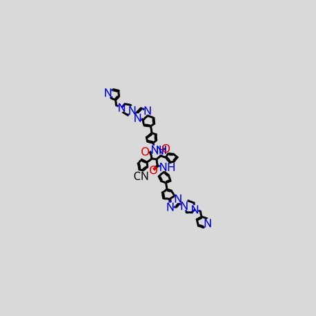 N#Cc1cccc(C(C(=O)Nc2ccc(-c3ccc4ncc(N5CCN(Cc6cccnc6)CC5)nc4c3)cc2)C(C(=O)Nc2ccc(-c3ccc4ncc(N5CCN(Cc6cccnc6)CC5)nc4c3)cc2)c2noc3ccccc23)c1